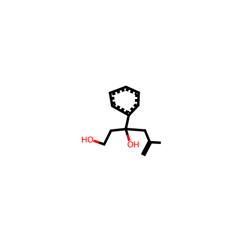 C=C(C)CC(O)(CCO)c1ccccc1